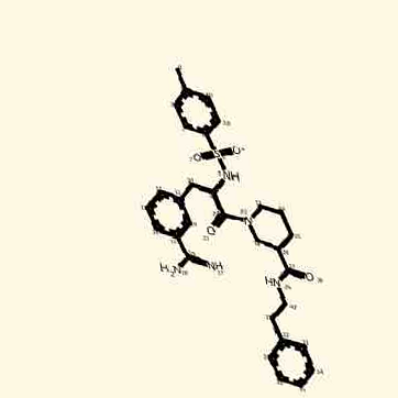 Cc1ccc(S(=O)(=O)NC(Cc2cccc(C(=N)N)c2)C(=O)N2CCCC(C(=O)NCCc3ccccc3)C2)cc1